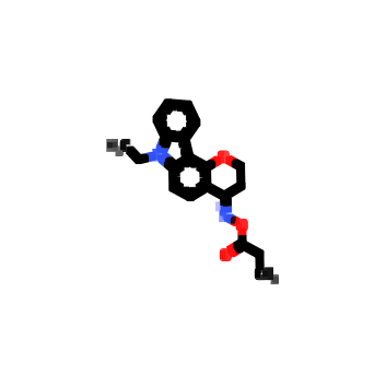 CCC(=O)O/N=C1\CCOc2c1ccc1c2c2ccccc2n1CC